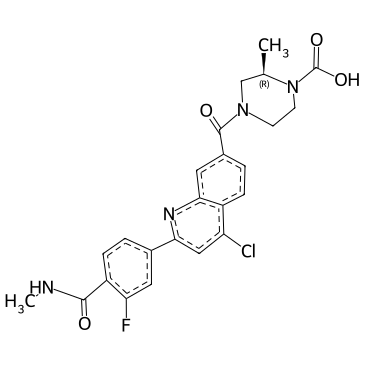 CNC(=O)c1ccc(-c2cc(Cl)c3ccc(C(=O)N4CCN(C(=O)O)[C@H](C)C4)cc3n2)cc1F